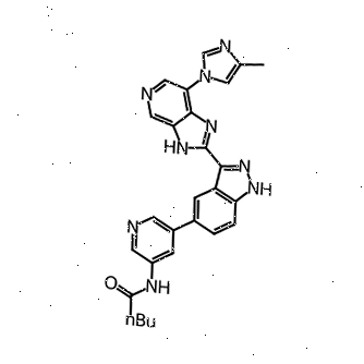 CCCCC(=O)Nc1cncc(-c2ccc3[nH]nc(-c4nc5c(-n6cnc(C)c6)cncc5[nH]4)c3c2)c1